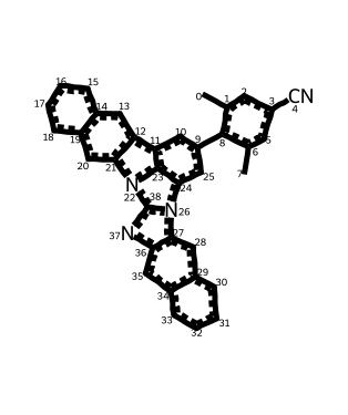 Cc1cc(C#N)cc(C)c1-c1cc2c3cc4ccccc4cc3n3c2c(c1)n1c2cc4ccccc4cc2nc13